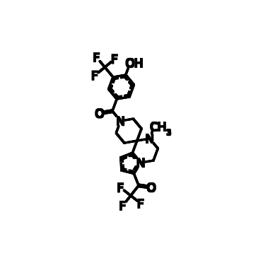 CN1CCn2c(C(=O)C(F)(F)F)ccc2C12CCN(C(=O)c1ccc(O)c(C(F)(F)F)c1)CC2